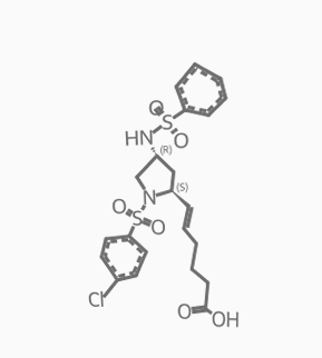 O=C(O)CCCC=C[C@@H]1C[C@@H](NS(=O)(=O)c2ccccc2)CN1S(=O)(=O)c1ccc(Cl)cc1